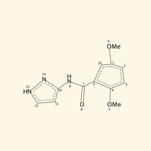 COc1ccc(OC)c(C(=O)Nc2cc[nH]n2)c1